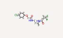 C=C(CCNC(=O)COc1ccc(Cl)cc1)NC(=O)C1CC1(F)F